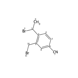 CC(Br)c1ccc(C#N)cc1CBr